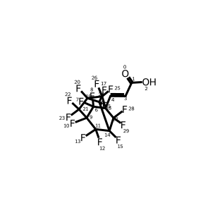 O=C(O)C=CC12C(F)(F)C3(F)C(F)(F)C(F)(C(F)(F)C(F)(C3(F)F)C1(F)F)C2(F)F